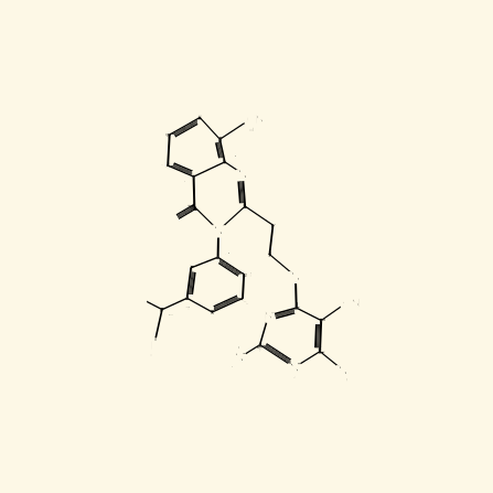 N#Cc1c(N)nc(N)nc1NCCc1nc2c(C#N)cccc2c(=O)n1-c1cccc(C(F)F)c1